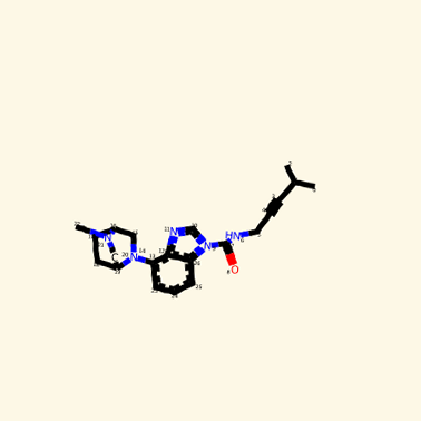 CC(C)C#CCNC(=O)n1cnc2c(N3CC4CCC3CN4C)cccc21